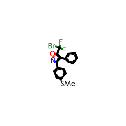 CSc1ccc(-c2noc(C(F)(F)Br)c2-c2ccccc2)cc1